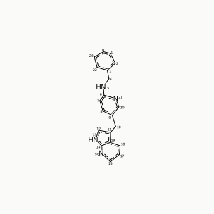 c1ccc(CNc2ccc(Cc3c[nH]c4ncccc34)cn2)cc1